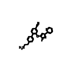 Cn1nc(-c2ccccn2)cc1Oc1cc(C#N)ccc1-c1ccc(CCN)cc1